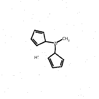 [CH3][Zr]([CH]1C=CC=C1)[CH]1C=CC=C1.[H+]